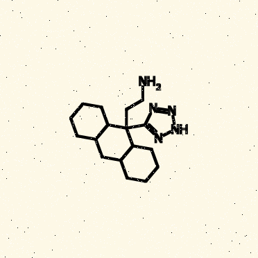 NCCC1(c2nn[nH]n2)C2CCCCC2CC2CCCCC21